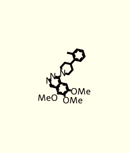 COc1cc2c(N3CCC(c4ccccc4C)CC3)nncc2c(OC)c1OC